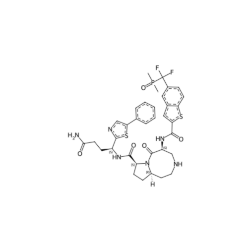 CP(C)(=O)C(F)(F)c1ccc2sc(C(=O)N[C@H]3CNCC[C@H]4CC[C@@H](C(=O)N[C@@H](CCC(N)=O)c5ncc(-c6ccccc6)s5)N4C3=O)cc2c1